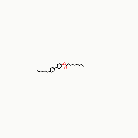 CCCCCCCCC(=O)Oc1ccc(C2=CCC(CCCCCC)CC2)cc1